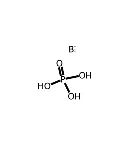 O=P(O)(O)O.[B]